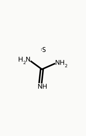 N=C(N)N.[S]